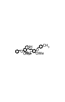 COc1cc(C)c(/C=C/C2NCCc3cc(OCc4ccccc4)c(OC)cc32)cc1OCc1ccc(C)cc1